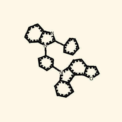 c1ccc(-c2nc3ccccc3n2-c2cccc(-n3c4ccccc4c4c5occc5ccc43)c2)cc1